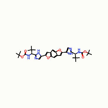 CC(C)(C)OC(=O)NC(c1ncc(-c2cc3cc4oc(-c5cnc(C(NC(=O)OC(C)(C)C)C(C)(C)C)[nH]5)cc4cc3o2)[nH]1)C(C)(C)C